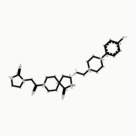 O=C(CN1CCOC1=O)N1CCC2(CC1)C[C@H](CCN1CCN(c3ccc(F)cc3)CC1)NC2=O